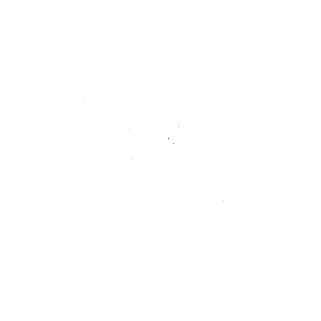 Cc1cc2c(cc1N(c1ccc(-c3ccccc3)c(F)c1C)C(C)(C)C)-c1ccccc1C2(C)C